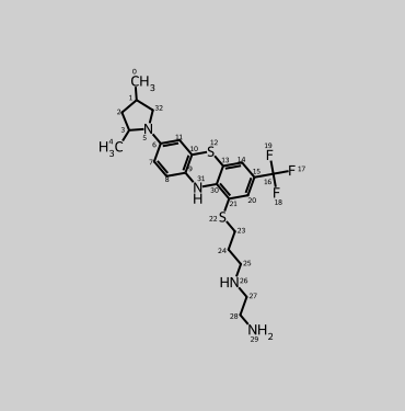 CC1CC(C)N(c2ccc3c(c2)Sc2cc(C(F)(F)F)cc(SCCCNCCN)c2N3)C1